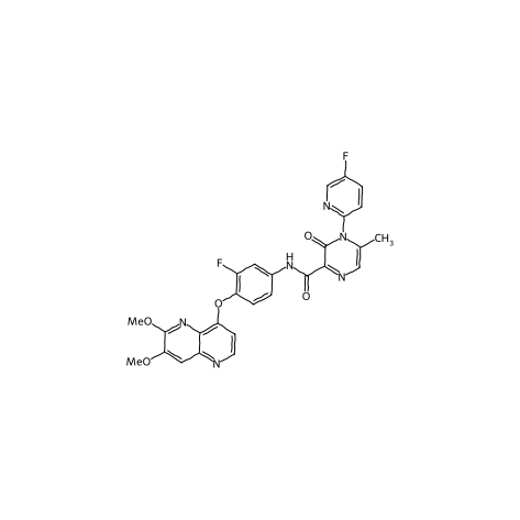 COc1cc2nccc(Oc3ccc(NC(=O)c4ncc(C)n(-c5ccc(F)cn5)c4=O)cc3F)c2nc1OC